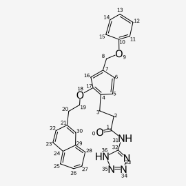 O=C(CCc1ccc(COc2ccccc2)cc1OCCc1ccc2ccccc2c1)Nc1nnn[nH]1